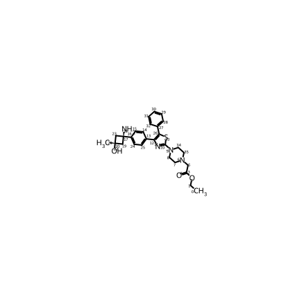 CCOC(=O)CN1CCN(c2nc(-c3ccc([C@]4(N)C[C@](C)(O)C4)cc3)c(-c3ccccc3)s2)CC1